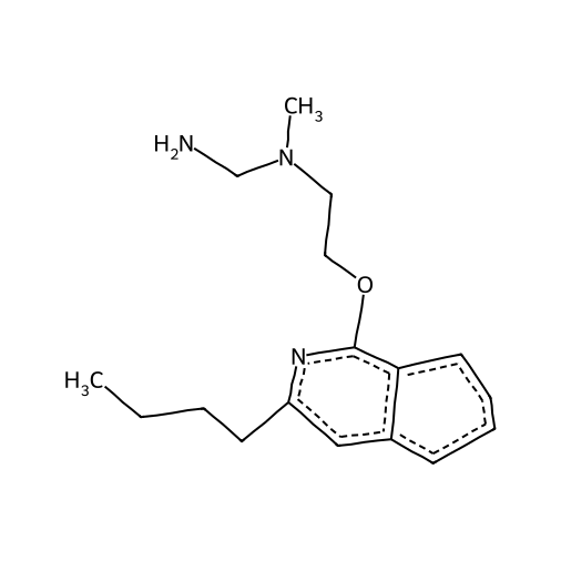 CCCCc1cc2ccccc2c(OCCN(C)CN)n1